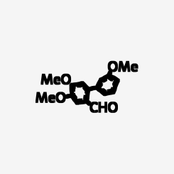 COc1cccc(-c2cc(OC)c(OC)cc2C=O)c1